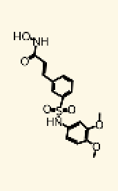 COc1ccc(NS(=O)(=O)c2cccc(/C=C/C(=O)NO)c2)cc1OC